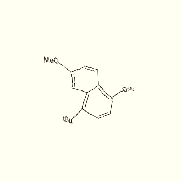 COc1ccc2c(OC)ccc(C(C)(C)C)c2c1